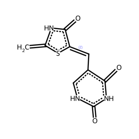 C=c1[nH]c(=O)/c(=C/c2c[nH]c(=O)[nH]c2=O)s1